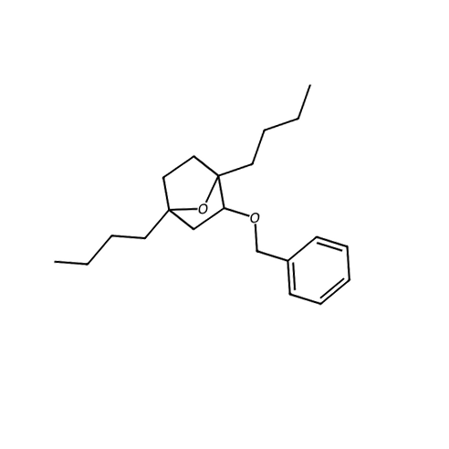 CCCCC12CCC(CCCC)(O1)C(OCc1ccccc1)C2